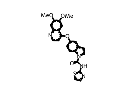 COc1cc2nccc(Oc3ccc4c(ccn4C(=O)Nc4nccs4)c3)c2cc1OC